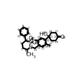 C[C@H]1CCC(c2ccccc2)S(=O)(=O)N1Cc1cc(F)c(C2(O)CCC(=O)CC2)cc1F